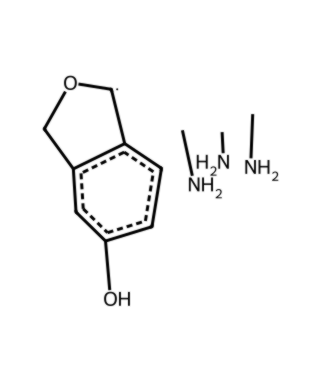 CN.CN.CN.Oc1ccc2c(c1)CO[CH]2